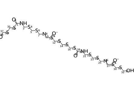 O=C(NCSCSC/N=C/[S+]([O-])CSCSCSC(=O)NCSCSC/N=C/[S+]([O-])CSCO)SCSCO